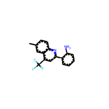 Cc1ccc2nc(-c3ccccc3N)cc(C(F)(F)F)c2c1